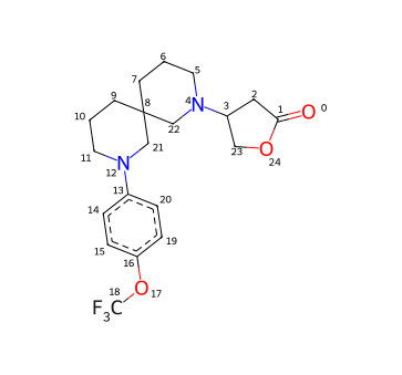 O=C1CC(N2CCCC3(CCCN(c4ccc(OC(F)(F)F)cc4)C3)C2)CO1